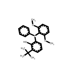 COc1cccc(OC)c1P(c1ccccc1)c1cccc(C(C)(C)C)c1O